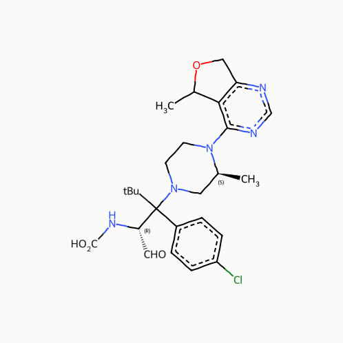 CC1OCc2ncnc(N3CCN(C(c4ccc(Cl)cc4)([C@H](C=O)NC(=O)O)C(C)(C)C)C[C@@H]3C)c21